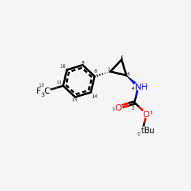 CC(C)(C)OC(=O)N[C@@H]1C[C@H]1c1ccc(C(F)(F)F)cc1